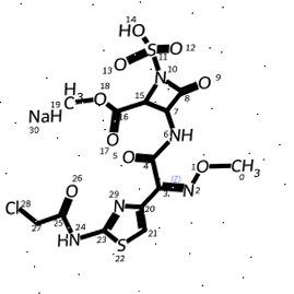 CO/N=C(\C(=O)NC1C(=O)N(S(=O)(=O)O)C1C(=O)OC)c1csc(NC(=O)CCl)n1.[NaH]